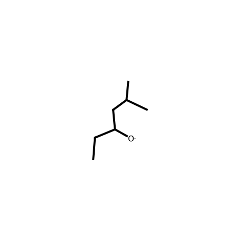 CCC([O])CC(C)C